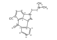 CN(C)CCn1nc2c3c(c(Cl)ccc31)C(=O)c1cnccc1-2